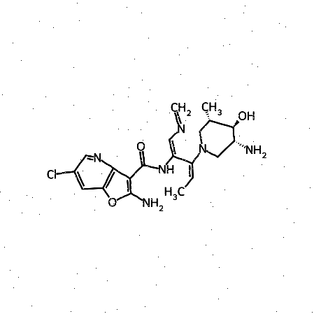 C=N/C=C(NC(=O)c1c(N)oc2cc(Cl)cnc12)\C(=C/C)N1C[C@@H](N)[C@H](O)[C@@H](C)C1